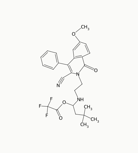 COc1ccc2c(=O)n(CCNC(CC(C)(C)C)OC(=O)C(F)(F)F)c(C#N)c(-c3ccccc3)c2c1